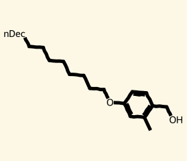 CCCCCCCCCCCCCCCCCCOc1ccc(CO)c(C)c1